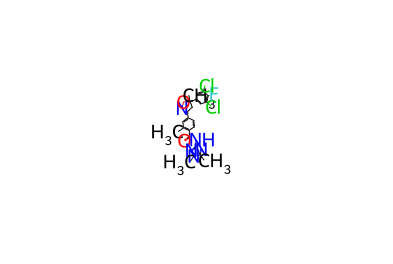 Cc1cc(C2=NOC(C)(c3cc(Cl)c(F)c(Cl)c3)C2)ccc1C(=O)Nc1nc(C)n(C)n1